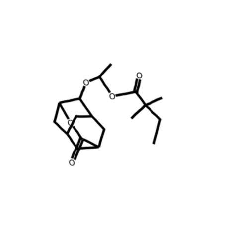 CCC(C)(C)C(=O)OC(C)OC1C2CC3CC(C2)C(=O)OC1C3